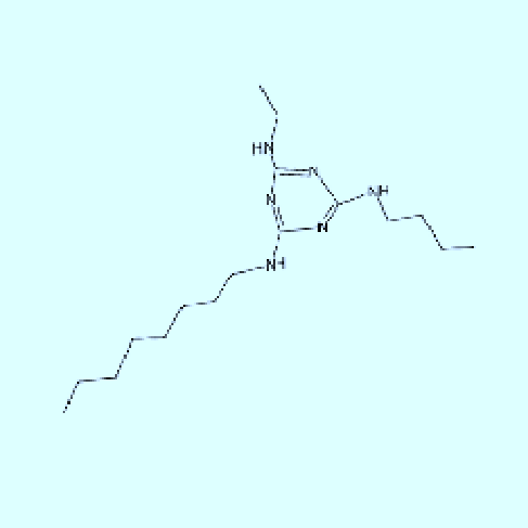 CCCCCCCCNc1nc(NCC)nc(NCCCC)n1